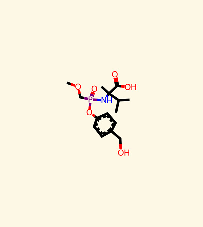 COCP(=O)(NC(C)(C(=O)O)C(C)C)Oc1ccc(CO)cc1